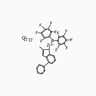 CC1=Cc2c(-c3ccccc3)cccc2[CH]1[Zr+3][B](c1c(F)c(F)c(F)c(F)c1F)c1c(F)c(F)c(F)c(F)c1F.[Cl-].[Cl-].[Cl-]